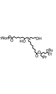 CCCCCCCCCOC(=O)CCCCCC(O)CN(CCCO)CCCCCCCC(=O)OC(CCC(CC)CCCC)CC(C)C